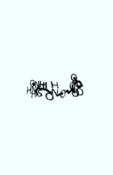 O=C(CC1SC[C@@H]2NC(=O)N[C@H]12)NCCOCCC(=O)ON1C(=O)CCC1=O